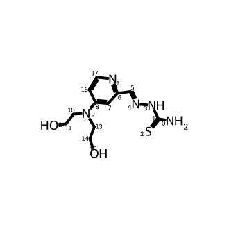 NC(=S)NN=Cc1cc(N(CCO)CCO)ccn1